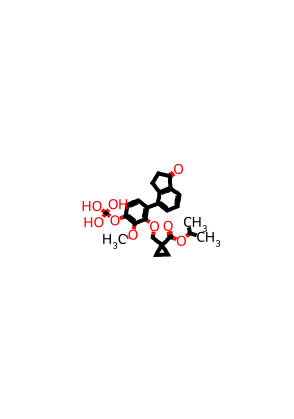 COc1c(OC(O)(O)O)ccc(-c2cccc3c2CCC3=O)c1OCC1(C(=O)OC(C)C)CC1